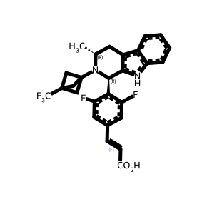 C[C@@H]1Cc2c([nH]c3ccccc23)[C@@H](c2c(F)cc(/C=C/C(=O)O)cc2F)N1C12CC(C(F)(F)F)(C1)C2